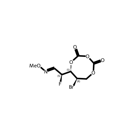 CON=C[C@H](F)[C@@H]1OC(=O)OC(=O)OC[C@H]1Br